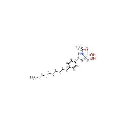 CCCCCCCCCCc1ccc(CCC(CO)(CO)NC(C)=O)cc1